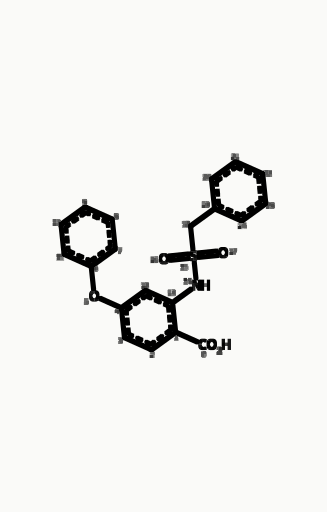 O=C(O)c1ccc(Oc2ccccc2)cc1NS(=O)(=O)Cc1ccccc1